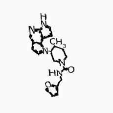 C[C@@H]1CCN(C(=O)NCc2ccco2)C[C@@H]1n1ccc2cnc3[nH]ccc3c21